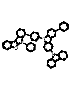 c1ccc(-c2ccc3c(c2)c2cc(-n4c5ccccc5c5ccccc54)ccc2n3-c2ccc(-c3cccc4c5c6ccccc6oc5n(-c5ccccc5)c34)cc2)cc1